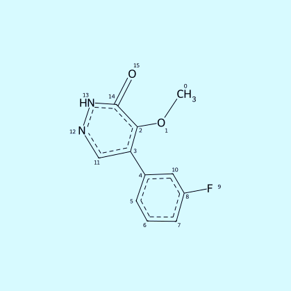 COc1c(-c2cccc(F)c2)cn[nH]c1=O